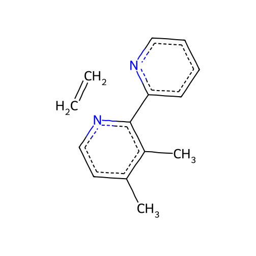 C=C.Cc1ccnc(-c2ccccn2)c1C